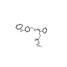 COC(=O)CC/C(=N\OCc1ccc(Oc2ccccc2)cc1)c1ccccc1